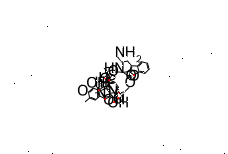 COc1c(C)cc2c(c1O)[C@@H]1[C@@H]3[C@@H]4SC[C@]5(N[C@@H](CN)Cc6c5oc5ccccc65)C(=O)OCC[C@@H](c5c6c(c(C)c(OC(C)=O)c54)OCO6)N3C(O)(C2)CN1C